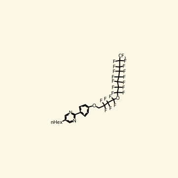 CCCCCCc1cnc(-c2ccc(OCC(F)(F)C(F)(F)C(F)(F)OC(F)(F)C(F)(F)C(F)(F)C(F)(F)C(F)(F)C(F)(F)C(F)(F)C(F)(F)F)cc2)nc1